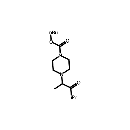 CCCCOC(=O)N1CCN(C(C)C(=O)C(C)C)CC1